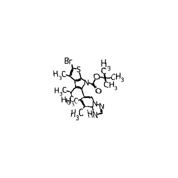 CC1=C(C)C2NC=NN2C=C1c1c(C(C)C)c2c(C)c(Br)sc2n1C(=O)OC(C)(C)C